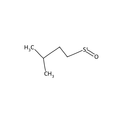 CC(C)CC[S+]=O